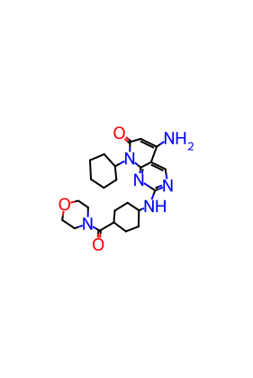 Nc1cc(=O)n(C2CCCCC2)c2nc(NC3CCC(C(=O)N4CCOCC4)CC3)ncc12